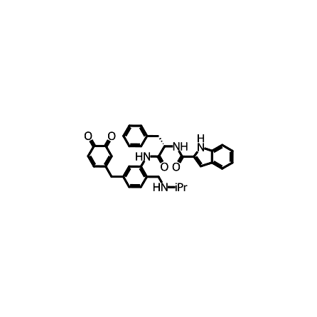 CC(C)NCc1ccc(CC2=CC(=O)C(=O)C=C2)cc1NC(=O)[C@H](Cc1ccccc1)NC(=O)c1cc2ccccc2[nH]1